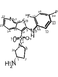 N[C@H]1CCN(S(=O)(=O)c2c(Nc3ccc(I)cc3F)sc3ncccc23)C1